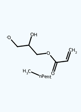 C=CC(=O)OCC(O)C[O].CCCCCC